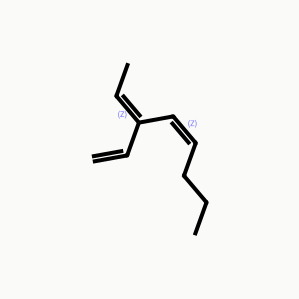 C=CC(/C=C\CCC)=C/C